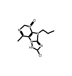 CCCN1C2=NC(Cl)NN2C2=C1[N+](=O)CN=C2C